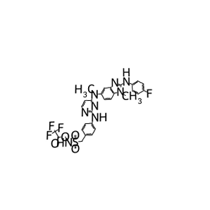 CN(c1ccc2c(c1)nc(Nc1ccc(F)cc1)n2C)c1ccnc(Nc2ccc(CS(=O)(=O)NOC(=O)C(F)(F)F)cc2)n1